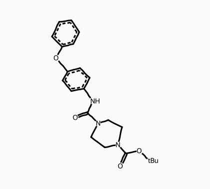 CC(C)(C)OC(=O)N1CCN(C(=O)Nc2ccc(Oc3ccccc3)cc2)CC1